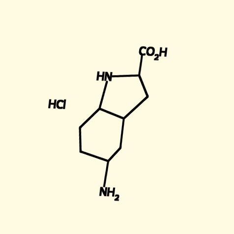 Cl.NC1CCC2NC(C(=O)O)CC2C1